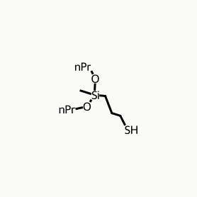 CCCO[Si](C)(CCCS)OCCC